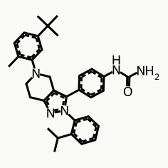 Cc1ccc(C(C)(C)C)cc1N1CCc2nn(-c3ccccc3C(C)C)c(-c3ccc(NC(N)=O)cc3)c2C1